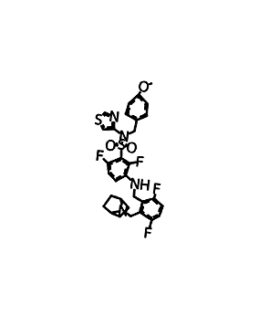 COc1ccc(CN(c2cscn2)S(=O)(=O)c2c(F)ccc(NCc3c(F)ccc(F)c3CN3C4CCC3CC4)c2F)cc1